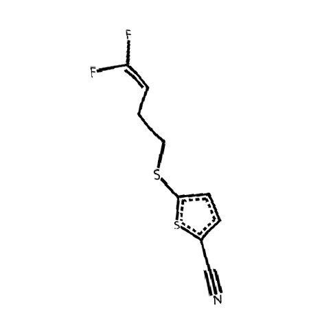 N#Cc1ccc(SCCC=C(F)F)s1